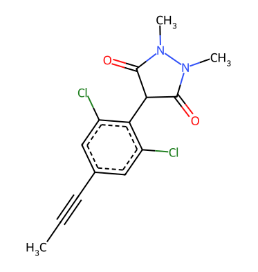 CC#Cc1cc(Cl)c(C2C(=O)N(C)N(C)C2=O)c(Cl)c1